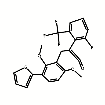 COc1ccc(-c2cccs2)c(OC)c1CC(=C=O)c1c(F)cccc1C(F)(F)F